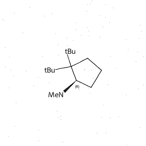 CN[C@@H]1CCCC1(C(C)(C)C)C(C)(C)C